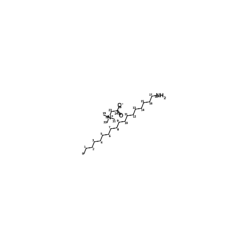 CCCCCCCCCCCCCCCCCCN.C[N+](C)(C)CC(=O)[O-]